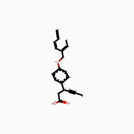 C=C/C=C\C(=C/C)COc1ccc(C(C#CC)CC(=O)O)cc1